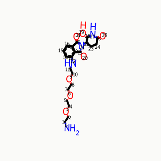 NCCOCCOCCOCCNc1cccc2c1C(=O)N(C1CCC(=O)NC1O)C2=O